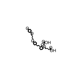 COc1ccc(OCCCCOc2ccc(/C=C/c3cccc4c3OC(C(=O)O)CN4CCCC(=O)O)cc2)cc1